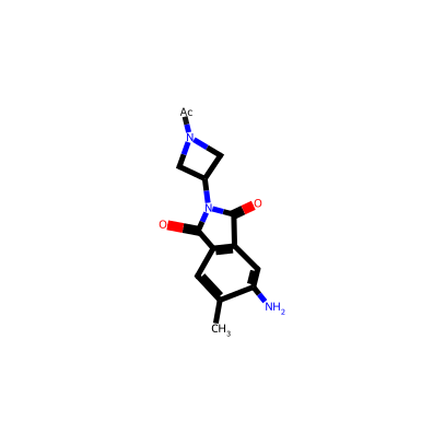 CC(=O)N1CC(N2C(=O)c3cc(C)c(N)cc3C2=O)C1